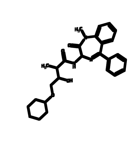 CC(C(=O)NC1N=C(c2ccccc2)c2ccccc2N(C)C1=O)C(O)COC1CCCCC1